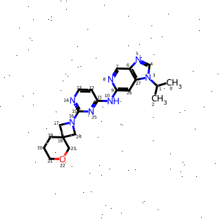 CC(C)n1cnc2cnc(Nc3ccnc(N4CC5(CCCOC5)C4)n3)cc21